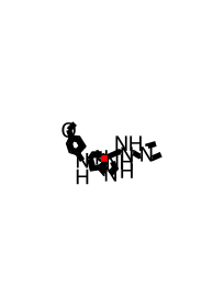 CCN(CC)CCNC(=N)C1=NC2=CC(Nc3ccc(OC)cc3)=CC3=CN=CNC32S1